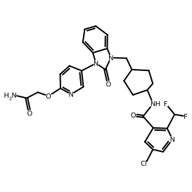 NC(=O)COc1ccc(-n2c(=O)n(CC3CCC(NC(=O)c4cc(Cl)cnc4C(F)F)CC3)c3ccccc32)cn1